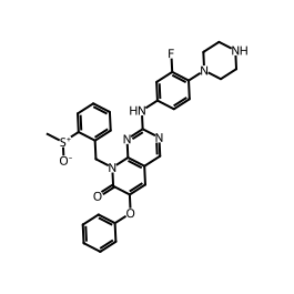 C[S+]([O-])c1ccccc1Cn1c(=O)c(Oc2ccccc2)cc2cnc(Nc3ccc(N4CCNCC4)c(F)c3)nc21